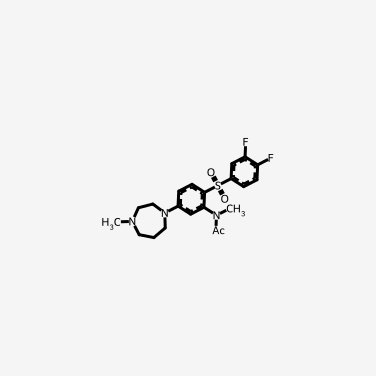 CC(=O)N(C)c1cc(N2CCCN(C)CC2)ccc1S(=O)(=O)c1ccc(F)c(F)c1